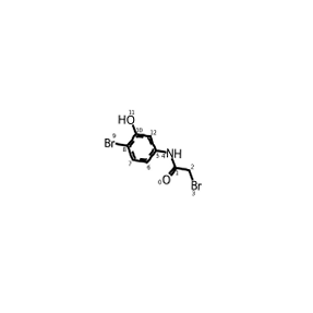 O=C(CBr)Nc1ccc(Br)c(O)c1